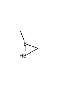 CB1BC1